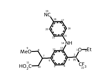 CCO[C@H](c1ccc(C(COC)CC(=O)O)cc1Nc1ccc(C#N)cc1)C(F)(F)F